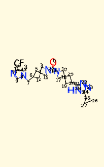 O=C(N1CC2(CC(Cn3cnc(C(F)(F)F)c3)C2)C1)N1CC2(CC(c3nnc(C4CC4)[nH]3)C2)C1